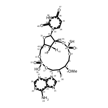 CO[C@@H]1COP(=O)(S)O[C@@H]2[C@H](F)[C@@H](COP(=O)(O)O[C@@H](n3cnc4c(N)ncnc43)[C@@H]1F)O[C@H]2n1ccc(=O)[nH]c1=O